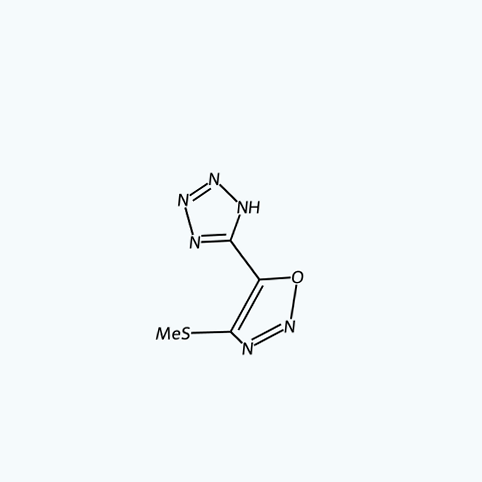 CSc1nnoc1-c1nnn[nH]1